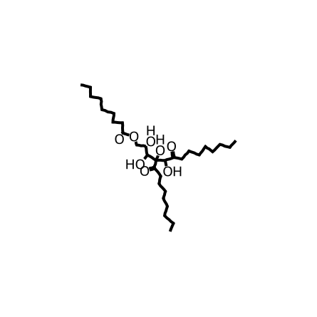 CCCCCCCCC(=O)OCC(O)C(O)C(O)(C(=O)CCCCCCCC)C(O)C(=O)CCCCCCCC